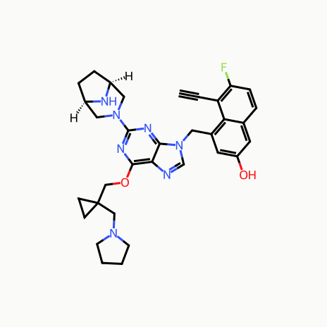 C#Cc1c(F)ccc2cc(O)cc(Cn3cnc4c(OCC5(CN6CCCC6)CC5)nc(N5C[C@H]6CC[C@@H](C5)N6)nc43)c12